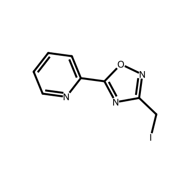 ICc1noc(-c2ccccn2)n1